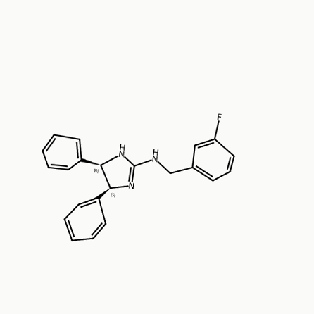 Fc1cccc(CNC2=N[C@@H](c3ccccc3)[C@@H](c3ccccc3)N2)c1